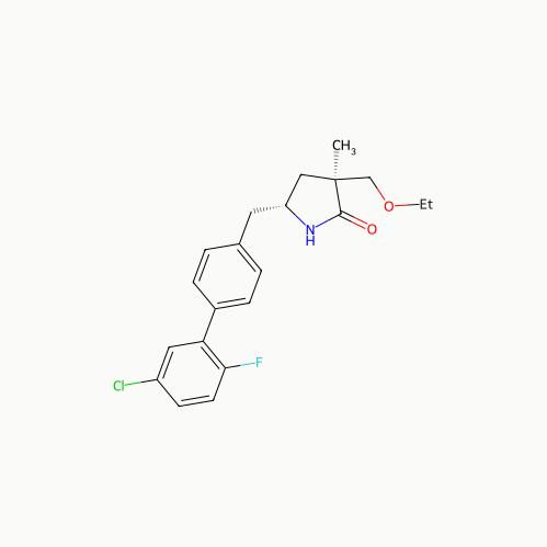 CCOC[C@]1(C)C[C@@H](Cc2ccc(-c3cc(Cl)ccc3F)cc2)NC1=O